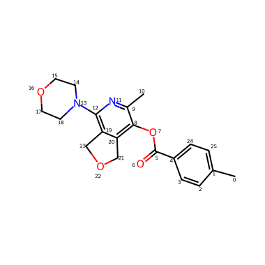 Cc1ccc(C(=O)Oc2c(C)nc(N3CCOCC3)c3c2COC3)cc1